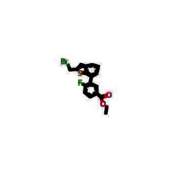 CCOC(=O)c1ccc(F)c(-c2cccc3cc(CBr)sc23)c1